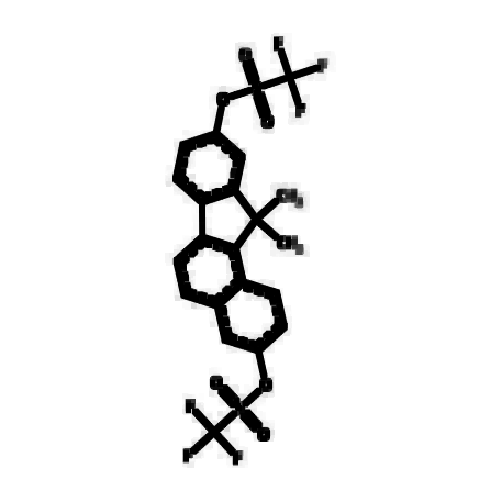 CC1(C)c2cc(OS(=O)(=O)C(F)(F)F)ccc2-c2ccc3cc(OS(=O)(=O)C(F)(F)F)ccc3c21